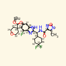 Cc1nonc1C(=O)N[C@H](c1nc2c(F)c(C3(C(=O)OC(C)(C)C)CCOCC3)ccc2[nH]1)C1CCC(F)(F)CC1